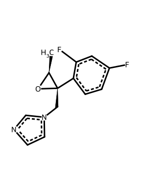 C[C@@H]1O[C@@]1(Cn1ccnc1)c1ccc(F)cc1F